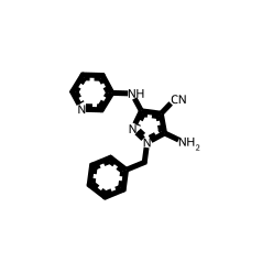 N#Cc1c(Nc2cccnc2)nn(Cc2ccccc2)c1N